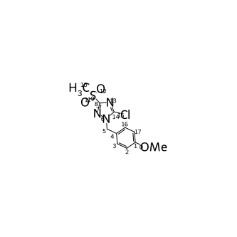 COc1ccc(Cn2nc(S(C)(=O)=O)nc2Cl)cc1